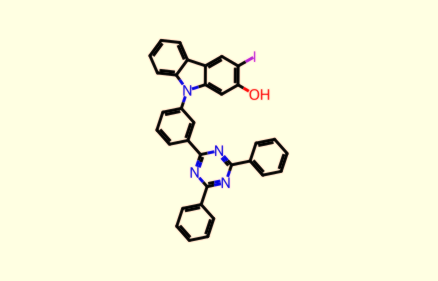 Oc1cc2c(cc1I)c1ccccc1n2-c1cccc(-c2nc(-c3ccccc3)nc(-c3ccccc3)n2)c1